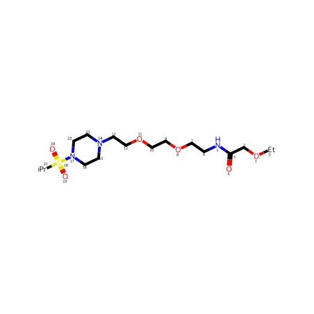 CCOCC(=O)NCCOCCOCCN1CCN(S(=O)(=O)C(C)C)CC1